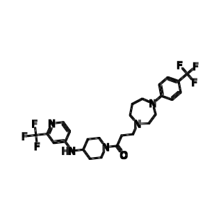 O=C(CCN1CCCN(c2ccc(C(F)(F)F)cc2)CC1)N1CCC(Nc2ccnc(C(F)(F)F)c2)CC1